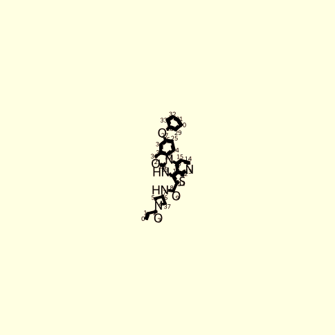 C=CC(=O)N1CC(NC(=O)c2sc3nccc4c3c2NC(=O)N4c2ccc(Oc3ccccc3)cc2C)C1